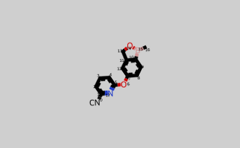 [C-]#[N+]c1cccc(Oc2ccc3c(c2)COB3C)n1